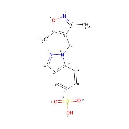 Cc1noc(C)c1Cn1ncc2cc(S(=O)(=O)O)ccc21